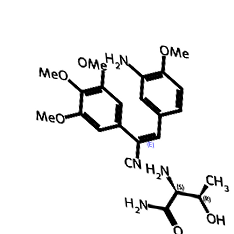 COc1ccc(/C=C(/C#N)c2cc(OC)c(OC)c(OC)c2)cc1N.C[C@@H](O)[C@H](N)C(N)=O